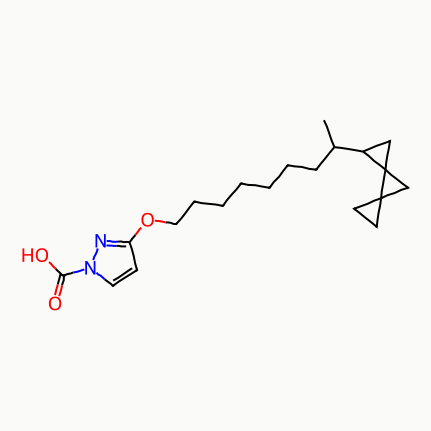 CC(CCCCCCCOc1ccn(C(=O)O)n1)C1CC12CC21CC1